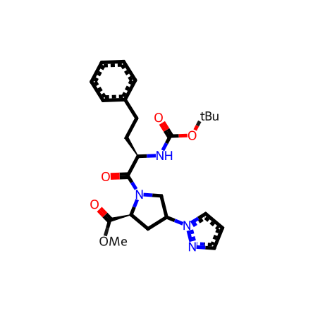 COC(=O)[C@@H]1CC(n2cccn2)CN1C(=O)[C@@H](CCc1ccccc1)NC(=O)OC(C)(C)C